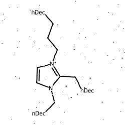 CCCCCCCCCCCCC[n+]1ccn(CCCCCCCCCCC)c1CCCCCCCCCCC